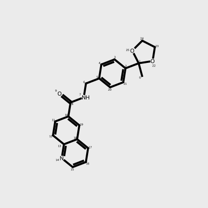 CC1(c2ccc(CNC(=O)c3ccc4ncccc4c3)cc2)OCCO1